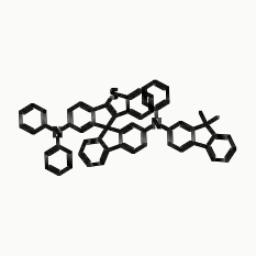 CC1(C)c2ccccc2-c2ccc(N(c3ccccc3)c3ccc4c(c3)C3(c5ccccc5-4)c4cc(N(c5ccccc5)c5ccccc5)ccc4-c4sc5ccccc5c43)cc21